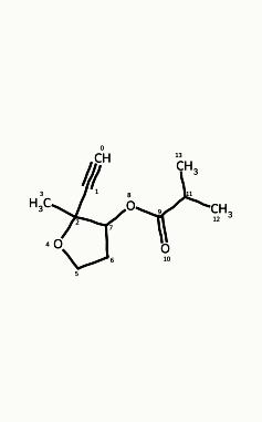 C#CC1(C)OCCC1OC(=O)C(C)C